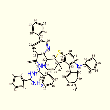 C=C(NC(NC(N)c1ccccc1)c1ccccc1)C1CC=C(c2ccccc2)C=NC1C1CC=CC2(C)c3c(ccc4c3C3=CCC(C)CC3N4c3ccccc3)SC12